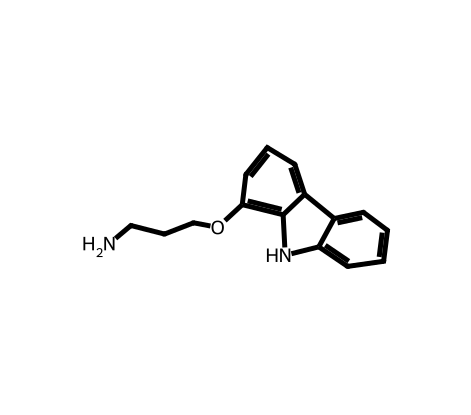 NCCCOc1cccc2c1[nH]c1ccccc12